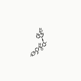 Cc1ccc(C(=O)Nc2ccc(N3CCN(C)CC3)c(F)c2)cc1C#Cc1cnc(N)c2ncccc12